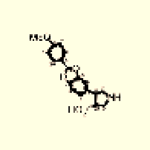 COc1ccc([C@@H]2Oc3ccc(C4CNCC4C(=O)O)cc3O2)cc1